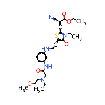 CCOC(=O)C(=C=c1sc(=C=CNc2cccc(NC(=O)CN(CC)CCOC)c2)c(=O)n1CC)C#N